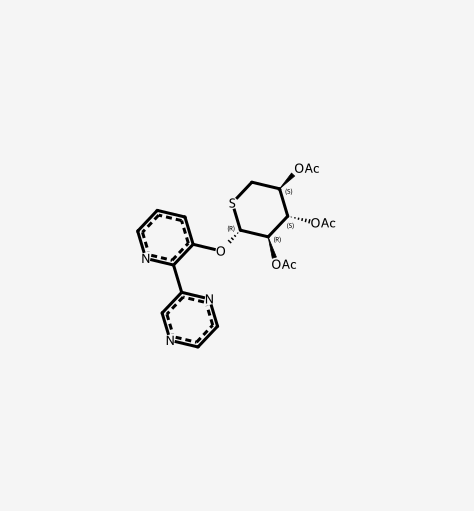 CC(=O)O[C@@H]1[C@@H](OC(C)=O)[C@H](OC(C)=O)CS[C@H]1Oc1cccnc1-c1cnccn1